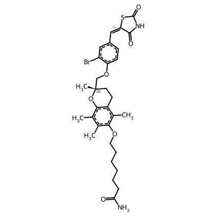 Cc1c(C)c2c(c(C)c1OCCCCCCC(N)=O)CC[C@@](C)(COc1ccc(/C=C3/SC(=O)NC3=O)cc1Br)O2